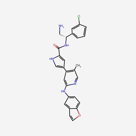 Cc1cnc(Nc2ccc3occc3c2)cc1-c1c[nH]c(C(=O)N[C@H](CN)c2cccc(Cl)c2)c1